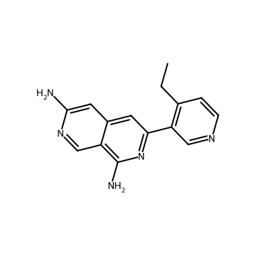 CCc1ccncc1-c1cc2cc(N)ncc2c(N)n1